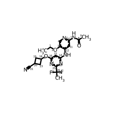 CCOc1cnc(NC(C)=O)cc1Nc1cc(OC2CC(C#N)C2)nc(C(C)(F)F)n1